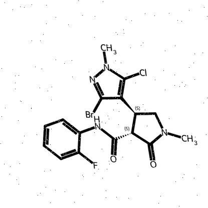 CN1C[C@H](c2c(Br)nn(C)c2Cl)[C@@H](C(=O)Nc2ccccc2F)C1=O